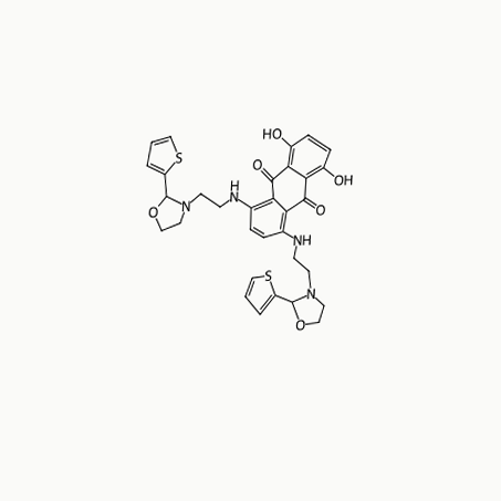 O=C1c2c(O)ccc(O)c2C(=O)c2c(NCCN3CCOC3c3cccs3)ccc(NCCN3CCOC3c3cccs3)c21